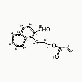 C=CC(=O)OCCSc1c(C=O)ccc2ccccc12